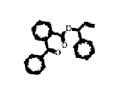 C=CC(OC(=O)c1ccccc1C(=O)c1ccccc1)c1ccccc1